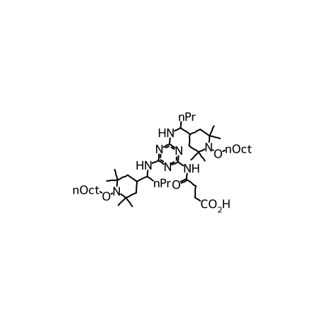 CCCCCCCCON1C(C)(C)CC(C(CCC)Nc2nc(NC(=O)CCC(=O)O)nc(NC(CCC)C3CC(C)(C)N(OCCCCCCCC)C(C)(C)C3)n2)CC1(C)C